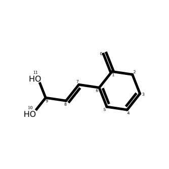 C=C1CC=CC=C1C=CC(O)O